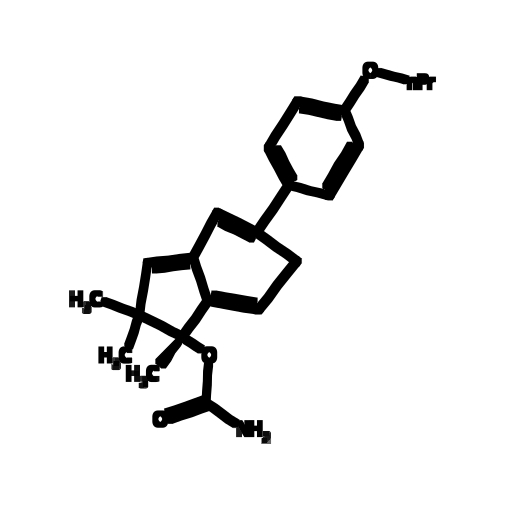 CCCOc1ccc(C2=CC3=CC(C)(C)[C@@](C)(OC(N)=O)C3=CC2)cc1